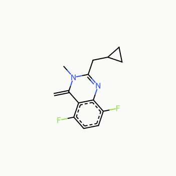 C=C1c2c(F)ccc(F)c2N=C(CC2CC2)N1C